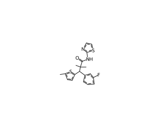 Cc1ccc(C(c2cccc(F)c2)C(C)(C)C(=O)Nc2nccs2)s1